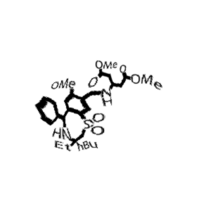 CCCC[C@]1(CC)CS(=O)(=O)c2cc(CNC(CC(=O)OC)CC(=O)OC)c(OC)cc2C(c2ccccc2)N1